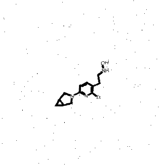 CCc1nc(N2CC3CC3C2)ccc1CCNO